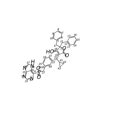 O=C1OC(Cc2ccccc2)(Cc2ccccc2)C(O)=C1C(c1cccc(CS(=O)(=O)c2ncnc3nc[nH]c23)c1)C1CC1